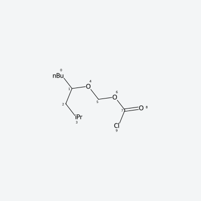 CCCCC(CC(C)C)OCOC(=O)Cl